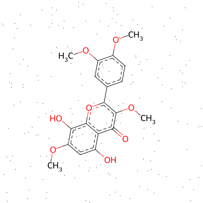 COc1ccc(-c2oc3c(O)c(OC)cc(O)c3c(=O)c2OC)cc1OC